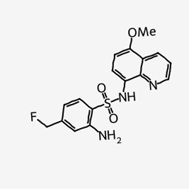 COc1ccc(NS(=O)(=O)c2ccc(CF)cc2N)c2ncccc12